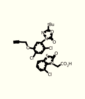 C#CCOc1cc(-n2nc(C(C)(C)C)oc2=O)c(Cl)cc1Cl.O=C(O)Cn1c(=O)sc2cccc(Cl)c21